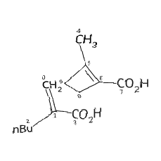 C=C(CCCC)C(=O)O.CC1=C(C(=O)O)CC1